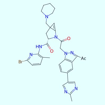 CC(=O)c1nn(CC(=O)N2C3=CC3(CN3CCCCC3)C[C@H]2C(=O)Nc2nc(Br)ccc2C)c2ccc(-c3cnc(C)nc3)cc12